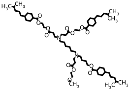 COCCOC(=O)CCN(CCCCCCN(CCC(=O)OCCOC(=O)C1CCC(CCCC(C)C)CC1)CCC(=O)OCCOC(=O)C1CCC(CCCC(C)C)CC1)CCCCOC(=O)C1CCC(CCCC(C)C)CC1